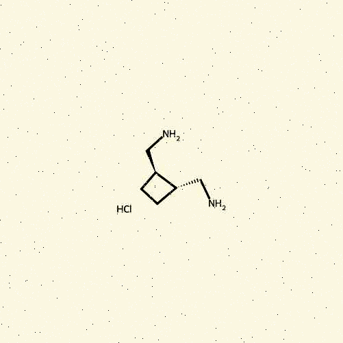 Cl.NC[C@@H]1CC[C@H]1CN